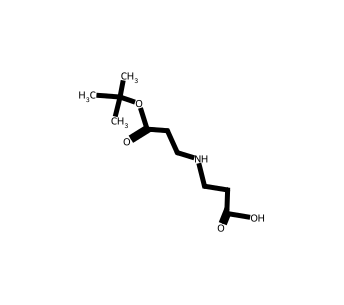 CC(C)(C)OC(=O)CCNCCC(=O)O